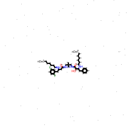 CCCCCCCCCCCCCCCCNC(CC(=O)NCC(C)(C)CNC(=O)C(O)C(Cc1ccccc1)NCCCCCCCCCCCCCCCC)Cc1cc(F)ccc1F